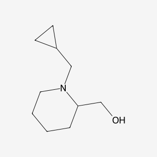 OCC1CCCCN1CC1CC1